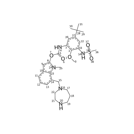 COc1c(NC(=O)Oc2cc3cccc(CN4CCCNCC4)c3n2C)cc(C(C)(C)C)cc1NS(C)(=O)=O